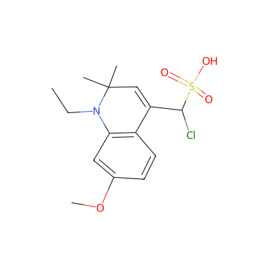 CCN1c2cc(OC)ccc2C(C(Cl)S(=O)(=O)O)=CC1(C)C